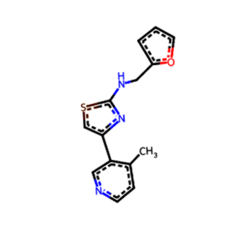 Cc1ccncc1-c1csc(NCc2ccco2)n1